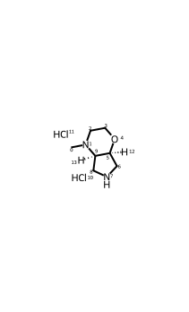 CN1CCO[C@H]2CNC[C@H]21.Cl.Cl